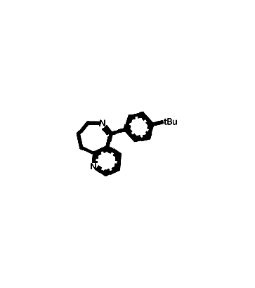 CC(C)(C)c1ccc(C2=NCCCc3ncccc32)cc1